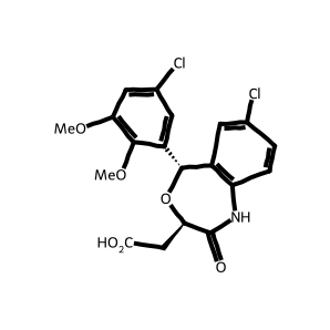 COc1cc(Cl)cc([C@H]2O[C@H](CC(=O)O)C(=O)Nc3ccc(Cl)cc32)c1OC